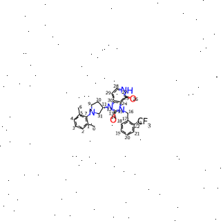 Cc1cccc(C)c1N1CC[C@@H](n2c(=O)n(Cc3ccccc3C(F)(F)F)c3c(=O)[nH]ccc32)C1